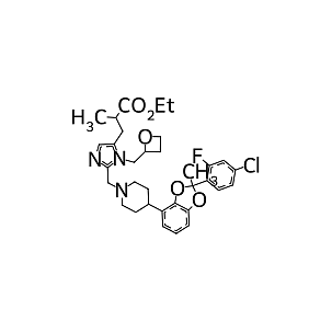 CCOC(=O)C(C)Cc1cnc(CN2CCC(c3cccc4c3OC(C)(c3ccc(Cl)cc3F)O4)CC2)n1CC1CCO1